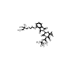 C=CC(C)(O)COCCOc1cccc2c1C(=O)N(C1CC3(CC3)C(=O)N(C(=O)OC(C)(C)C)C1=O)C2=O